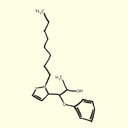 CCCCCCCCN1SC=CC1C(Oc1ccccc1)C(C)O